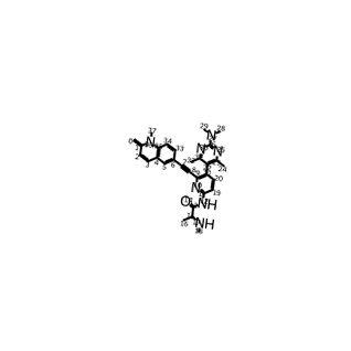 C=C1C=Cc2cc(C#Cc3nc(NC(=O)C(C)NC)ccc3-c3c(C)nc(N(C)C)nc3C)ccc2N1C